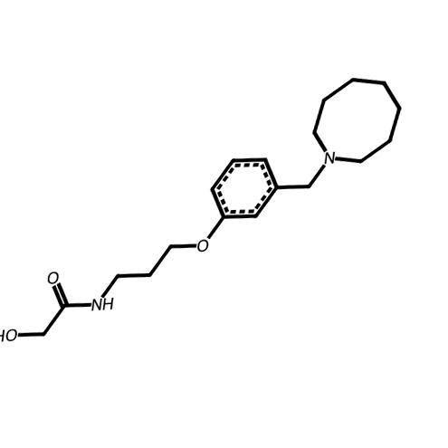 O=C(CO)NCCCOc1cccc(CN2CCCCCCC2)c1